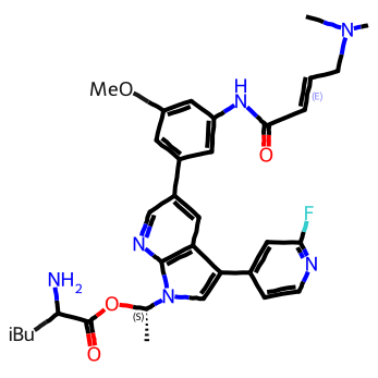 CCC(C)C(N)C(=O)O[C@@H](C)n1cc(-c2ccnc(F)c2)c2cc(-c3cc(NC(=O)/C=C/CN(C)C)cc(OC)c3)cnc21